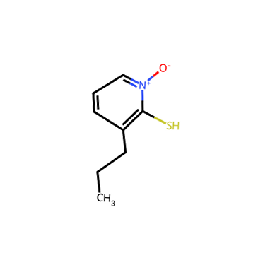 CCCc1ccc[n+]([O-])c1S